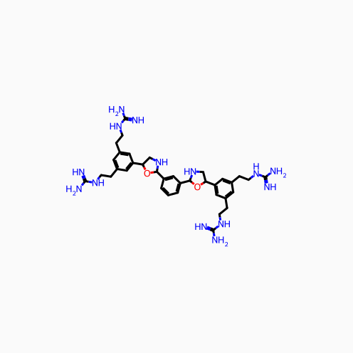 N=C(N)NCCc1cc(CCNC(=N)N)cc(C2CNC(c3cccc(C4NCC(c5cc(CCNC(=N)N)cc(CCNC(=N)N)c5)O4)c3)O2)c1